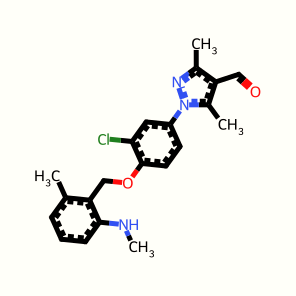 CNc1cccc(C)c1COc1ccc(-n2nc(C)c(C=O)c2C)cc1Cl